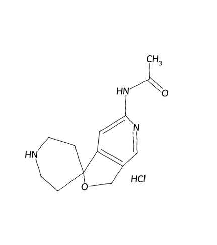 CC(=O)Nc1cc2c(cn1)COC21CCNCC1.Cl